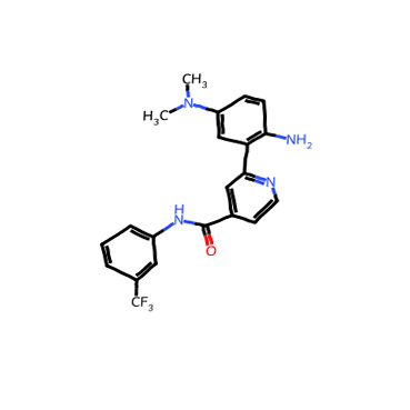 CN(C)c1ccc(N)c(-c2cc(C(=O)Nc3cccc(C(F)(F)F)c3)ccn2)c1